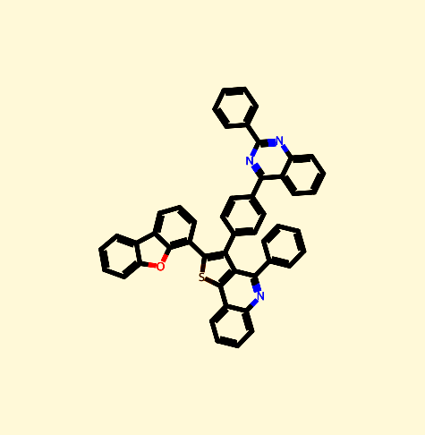 c1ccc(-c2nc(-c3ccc(-c4c(-c5cccc6c5oc5ccccc56)sc5c4c(-c4ccccc4)nc4ccccc45)cc3)c3ccccc3n2)cc1